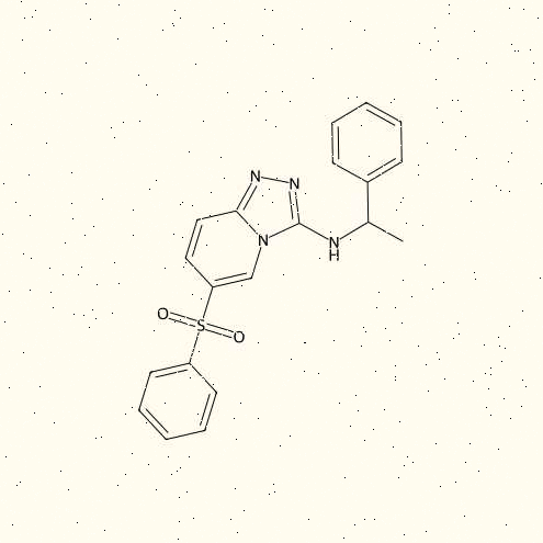 CC(Nc1nnc2ccc(S(=O)(=O)c3ccccc3)cn12)c1ccccc1